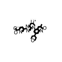 Cc1cc2c(N3CCCc4nc(-c5ccc(C(=O)[O-])nc5)ncc43)cc(C3CCOCC3)cc2n(C)c1=O.[Li+]